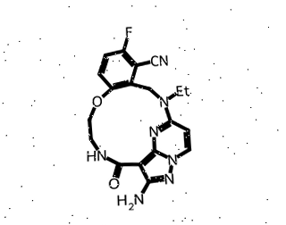 CCN1Cc2c(ccc(F)c2C#N)OCCNC(=O)c2c(N)nn3ccc1nc23